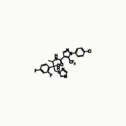 CC(NC(=O)c1cnn(-c2ccc(Cl)cc2)c1C(F)(F)F)C(O)(Cn1cncn1)c1ccc(F)cc1F